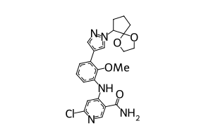 COc1c(Nc2cc(Cl)ncc2C(N)=O)cccc1-c1cnn(C2CCCC23OCCO3)c1